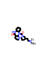 CCCCN(CC)CCC1CCCN(C(=O)N2c3ccccc3NC(=O)c3cccnc32)C1